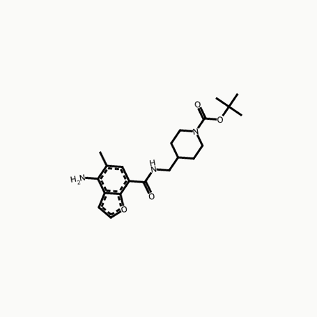 Cc1cc(C(=O)NCC2CCN(C(=O)OC(C)(C)C)CC2)c2occc2c1N